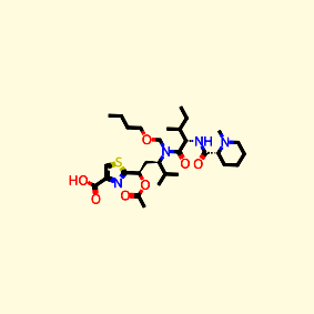 CCCCOCN(C(=O)[C@@H](NC(=O)[C@H]1CCCCN1C)C(C)CC)[C@H](C[C@@H](OC(C)=O)c1nc(C(=O)O)cs1)C(C)C